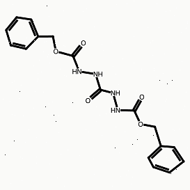 O=C(NNC(=O)OCc1ccccc1)NNC(=O)OCc1ccccc1